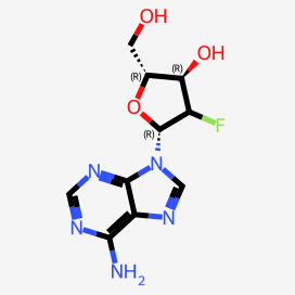 Nc1ncnc2c1ncn2[C@@H]1O[C@H](CO)[C@@H](O)C1F